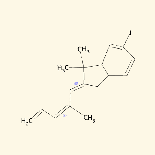 C=C/C=C(C)\C=C1/CC2C=CC(I)=CC2C1(C)C